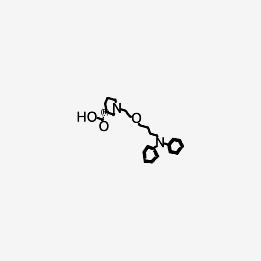 O=C(O)[C@@H]1CCCN(CCOCCCCN(c2ccccc2)c2ccccc2)C1